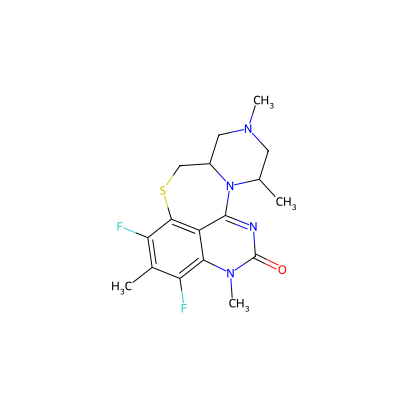 Cc1c(F)c2c3c(nc(=O)n(C)c3c1F)N1C(C)CN(C)CC1CS2